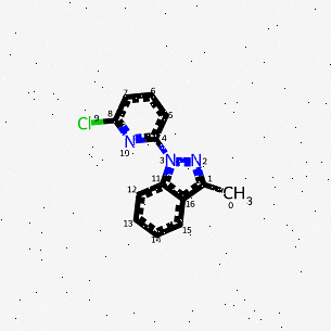 Cc1nn(-c2cccc(Cl)n2)c2ccccc12